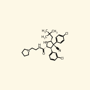 CC(C)(C)C[C@@H]1N[C@@H](C(=O)NCCN2CCCC2)[C@H](c2cccc(Cl)c2)[C@@]1(C#N)c1ccc(Cl)cc1